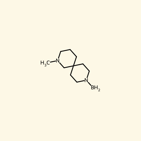 BN1CCC2(CCCN(C)C2)CC1